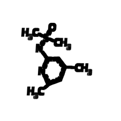 Cc1cc(C)nc(N=S(C)(C)=O)c1